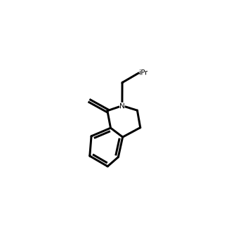 C=C1c2ccccc2CCN1CC(C)C